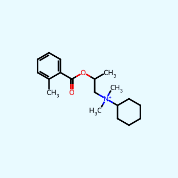 Cc1ccccc1C(=O)OC(C)C[N+](C)(C)C1CCCCC1